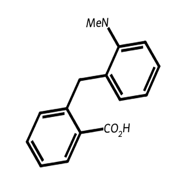 CNc1ccccc1Cc1ccccc1C(=O)O